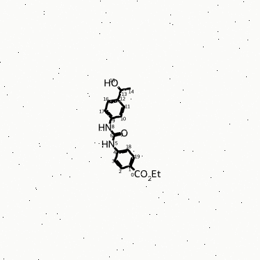 CCOC(=O)c1ccc(NC(=O)Nc2ccc(C(C)O)cc2)cc1